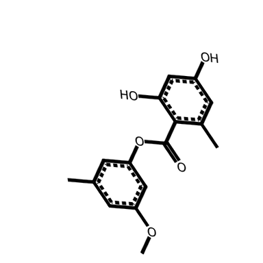 COc1cc(C)cc(OC(=O)c2c(C)cc(O)cc2O)c1